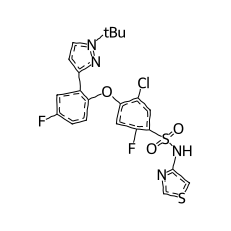 CC(C)(C)n1ccc(-c2cc(F)ccc2Oc2cc(F)c(S(=O)(=O)Nc3cscn3)cc2Cl)n1